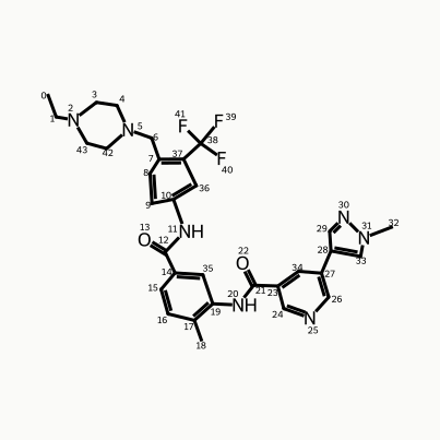 CCN1CCN(Cc2ccc(NC(=O)c3ccc(C)c(NC(=O)c4cncc(-c5cnn(C)c5)c4)c3)cc2C(F)(F)F)CC1